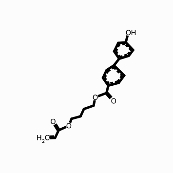 C=CC(=O)OCCCCOC(=O)c1ccc(-c2ccc(O)cc2)cc1